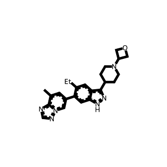 CCc1cc2c(C3CCN(C4COC4)CC3)n[nH]c2cc1-c1cc(C)c2ncnn2c1